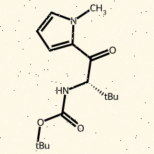 Cn1cccc1C(=O)[C@@H](NC(=O)OC(C)(C)C)C(C)(C)C